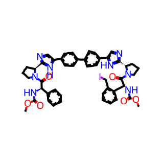 COC(=O)N[C@@H](C(=O)N1CCC[C@H]1c1ncc(-c2ccc(-c3ccc(-c4cnc([C@@H]5CCCN5C(=O)[C@H](NC(=O)OC)c5ccccc5CI)[nH]4)cc3)cc2)[nH]1)c1ccccc1